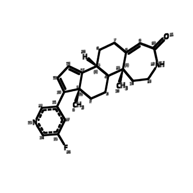 C[C@]12CCC3[C@@H](CCC4=CC(=O)NCC[C@@]43C)C1=CC=C2c1cncc(F)c1